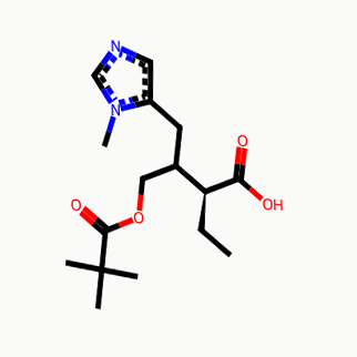 CC[C@H](C(=O)O)C(COC(=O)C(C)(C)C)Cc1cncn1C